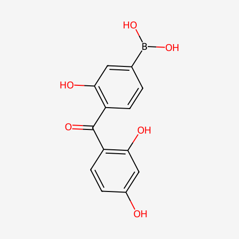 O=C(c1ccc(O)cc1O)c1ccc(B(O)O)cc1O